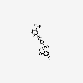 O=C(N1CC2(C1)CN(c1cc(C(F)F)ccn1)C2)N1CCOc2cc(Cl)ccc21